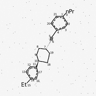 CCCc1ccc(C#C[C@H]2CC[C@H](c3ccc(CC)cc3)CC2)cc1